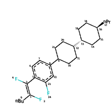 CCCC/C(F)=C(\F)c1ccc(C2CCC([C@H]3CC[C@H](CCC)CC3)CC2)cc1F